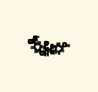 COc1ccc2nc(NC(=O)c3cc([N+](=O)[O-])ccc3Cl)sc2c1